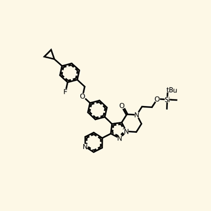 CC(C)(C)[Si](C)(C)OCCN1CCn2nc(-c3ccncc3)c(-c3ccc(OCc4ccc(C5CC5)cc4F)cc3)c2C1=O